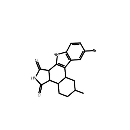 CC1CCC2C(C1)c1c([nH]c3ccc(Br)cc13)C1C(=O)NC(=O)C12